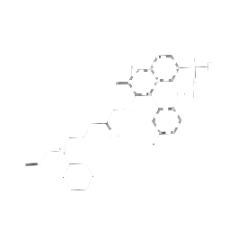 C=CCN(CCCC(=O)CSc1c(-c2cc(Cl)ccc2O)c2cc(C(F)(F)F)ccc2[nH]c1=O)C1CCCCC1